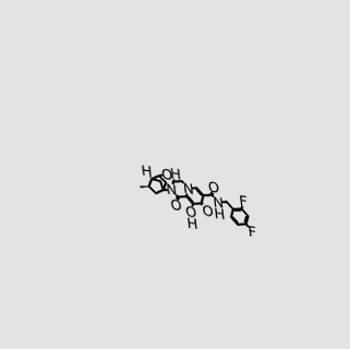 C[C@@H]1CC23CC(O[C@H]4Cn5cc(C(=O)NCc6ccc(F)cc6F)c(=O)c(O)c5C(=O)N42)[C@H]1C3